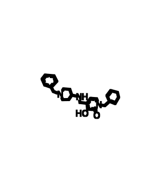 O=c1c(O)c(CNC2CCN(Cc3ccccc3)CC2)ccn1CC1=CCCC=C1